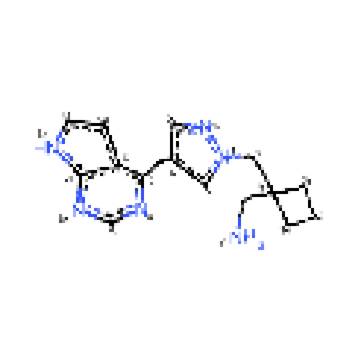 NCC1(Cn2cc(-c3ncnc4[nH]ccc34)cn2)CCC1